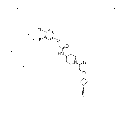 N#CC1CC(OCC(=O)N2CCC(NC(=O)COc3ccc(Cl)c(F)c3)CC2)C1